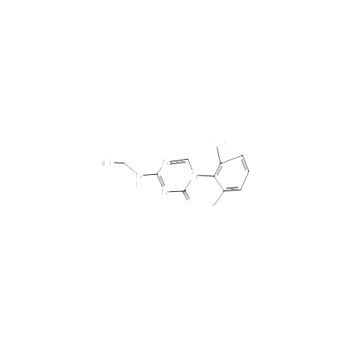 Cc1cccc(Cl)c1-n1cnc(NCC(C)C)nc1=O